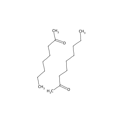 CCCCCCC(C)=O.CCCCCCCC(C)=O